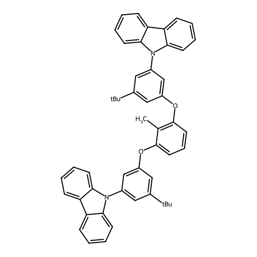 Cc1c(Oc2cc(-n3c4ccccc4c4ccccc43)cc(C(C)(C)C)c2)cccc1Oc1cc(-n2c3ccccc3c3ccccc32)cc(C(C)(C)C)c1